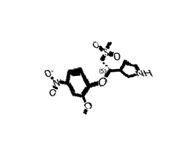 COc1cc([N+](=O)[O-])ccc1O[C@H](CS(C)(=O)=O)C1CCNC1